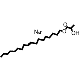 CCCCCCCCC=CCCCCCCCCOC(=O)C(C)O.[Na]